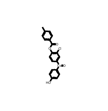 Cc1ccc(C(=O)Oc2cc[c]([Co](=[O])[c]3ccc(O)cc3)cc2Cl)cc1